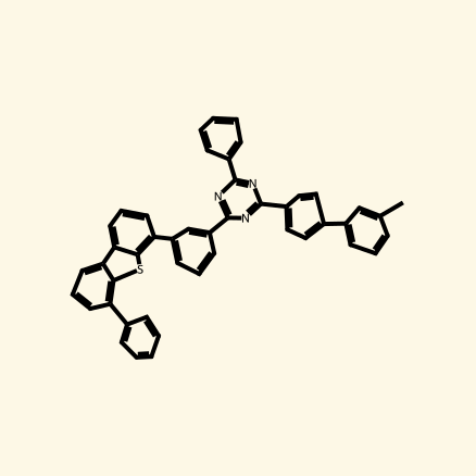 Cc1cccc(-c2ccc(-c3nc(-c4ccccc4)nc(-c4cccc(-c5cccc6c5sc5c(-c7ccccc7)cccc56)c4)n3)cc2)c1